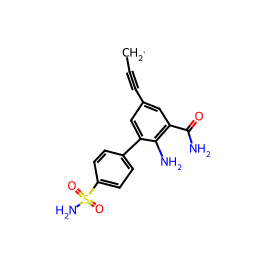 [CH2]C#Cc1cc(C(N)=O)c(N)c(-c2ccc(S(N)(=O)=O)cc2)c1